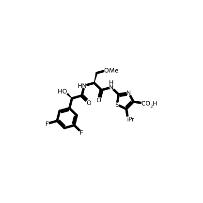 COC[C@H](NC(=O)[C@H](O)c1cc(F)cc(F)c1)C(=O)Nc1nc(C(=O)O)c(C(C)C)s1